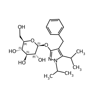 CC(C)c1c(Cc2ccccc2)c(O[C@@H]2O[C@H](CO)[C@@H](O)[C@H](O)[C@H]2O)nn1C(C)C